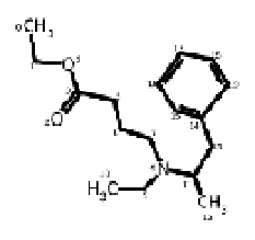 CCOC(=O)CCCN(CC)C(C)Cc1ccccc1